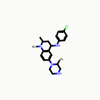 CC(=O)N1c2ccc(N3CCNCC3C(C)C)cc2C(Nc2ccc(Cl)cc2)CC1C